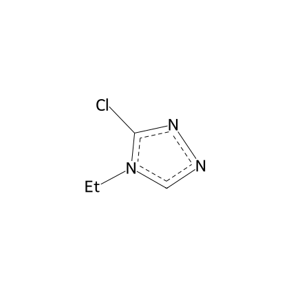 CCn1cnnc1Cl